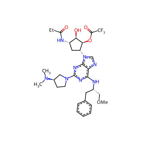 CCC(=O)N[C@H]1C[C@@H](n2cnc3c(N[C@H](COC)Cc4ccccc4)nc(N4CC[C@@H](N(C)C)C4)nc32)[C@H](OC(=O)C(F)(F)F)[C@@H]1O